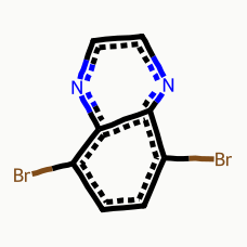 Brc1ccc(Br)c2nccnc12